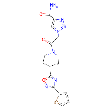 NC(=O)c1cn(CC(=O)N2CCC(c3nc(-c4cccs4)no3)CC2)nn1